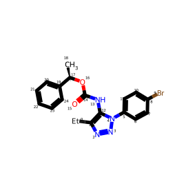 CCc1nnn(-c2ccc(Br)cc2)c1NC(=O)O[C@H](C)c1ccccc1